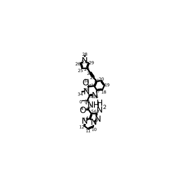 C[C@H](NC(=O)c1c(N)nn2cccnc12)c1nc2cccc(C#Cc3ccn(C)c3)c2c(=O)n1C